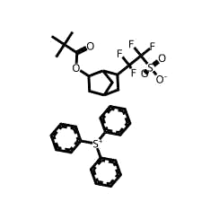 CC(C)(C)C(=O)OC1CC2CC1C(C(F)(F)C(F)(F)S(=O)(=O)[O-])C2.c1ccc([S+](c2ccccc2)c2ccccc2)cc1